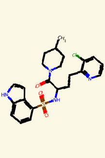 CC1CCN(C(=O)C(CCc2ncccc2Cl)NS(=O)(=O)c2cccc3[nH]ccc23)CC1